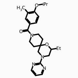 CCC1CN(c2ncccn2)CC2(CCN(C(=O)c3ccc(OC(C)C)c(C)c3)CC2)O1